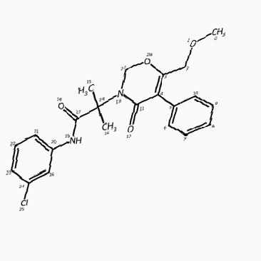 COCC1=C(c2ccccc2)C(=O)N(C(C)(C)C(=O)Nc2cccc(Cl)c2)CO1